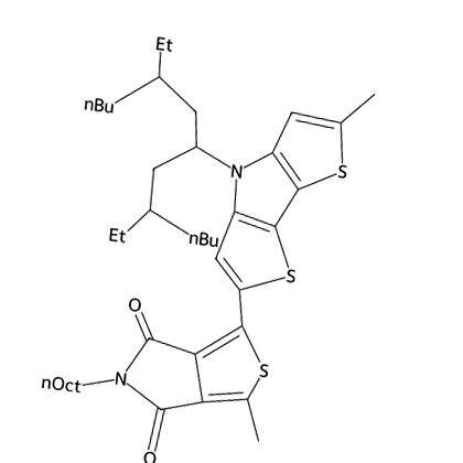 CCCCCCCCN1C(=O)c2c(C)sc(-c3cc4c(s3)c3sc(C)cc3n4C(CC(CC)CCCC)CC(CC)CCCC)c2C1=O